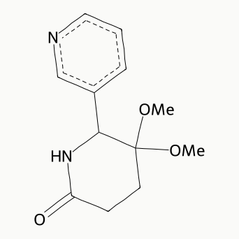 COC1(OC)CCC(=O)NC1c1cccnc1